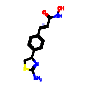 NC1=NC(c2ccc(/C=C/C(=O)NO)cc2)CS1